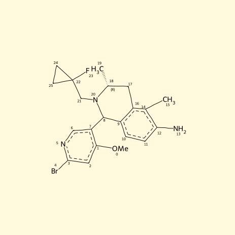 COc1cc(Br)ncc1C1c2ccc(N)c(C)c2C[C@@H](C)N1CC1(F)CC1